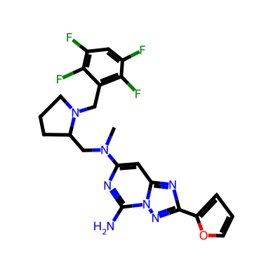 CN(CC1CCCN1Cc1c(F)c(F)cc(F)c1F)c1cc2nc(-c3ccco3)nn2c(N)n1